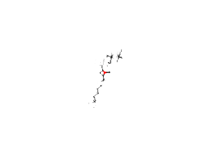 C=C1C2(COCCCCCOC)CC1(C(=O)N1CC(OC(C)(C)C)C1)C2